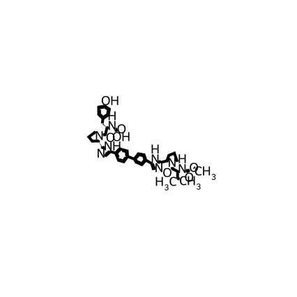 COC(=O)N[C@H](C(=O)N1CCCC1c1ncc(-c2ccc(-c3ccc(-c4cnc([C@@H]5CCCN5C(=O)[C@H](Cc5ccc(O)cc5)NC(=O)O)[nH]4)cc3)cc2)[nH]1)C(C)C